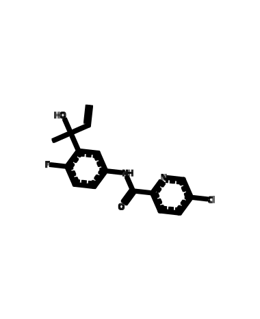 C=CC(C)(O)c1cc(NC(=O)c2ccc(Cl)cn2)ccc1F